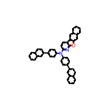 c1ccc2cc(-c3ccc(N(c4ccc(-c5ccc6ccccc6c5)cc4)c4ccc5c(n4)oc4cc6ccccc6cc45)cc3)ccc2c1